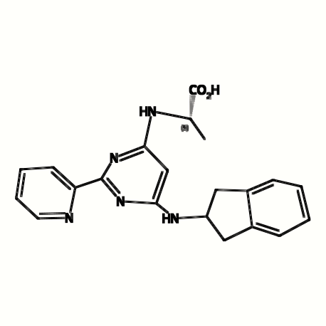 C[C@H](Nc1cc(NC2Cc3ccccc3C2)nc(-c2ccccn2)n1)C(=O)O